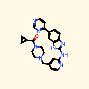 O=C(C1CC1)N1CCN(Cc2ccnc(Nc3nc4ccc(-c5ccncn5)cc4[nH]3)c2)CC1